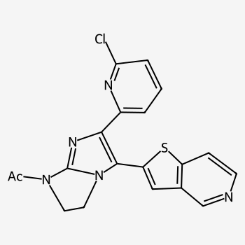 CC(=O)N1CCn2c1nc(-c1cccc(Cl)n1)c2-c1cc2cnccc2s1